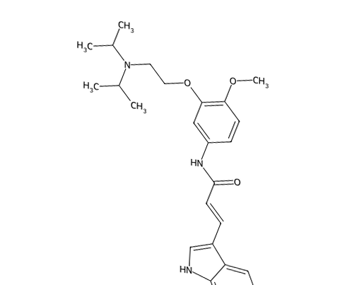 COc1ccc(NC(=O)/C=C/c2c[nH]c3ccccc23)cc1OCCN(C(C)C)C(C)C